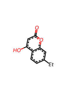 CCc1ccc2c(O)cc(=O)oc2c1